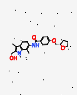 Cc1c(CO)n(C)c2c(C)c(NC(=O)c3ccc(OC[C@@H]4CCCO4)cc3)ccc12